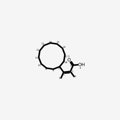 CC(C(=O)O)=C(C)C1CCCCCCCCCCC1